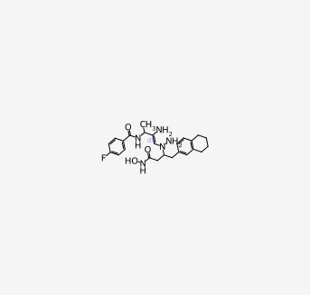 CC(NC(=O)c1ccc(F)cc1)/C(N)=C/N(N)C(CC(=O)NO)Cc1ccc2c(c1)CCCC2